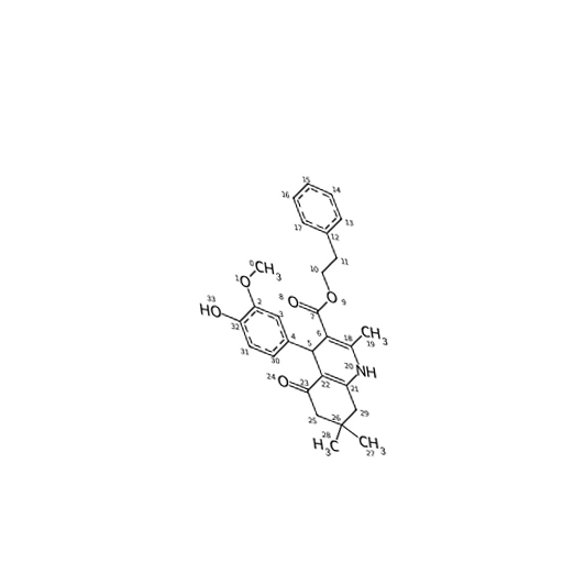 COc1cc(C2C(C(=O)OCCc3ccccc3)=C(C)NC3=C2C(=O)CC(C)(C)C3)ccc1O